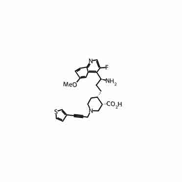 COc1ccc2ncc(F)c([C@@H](N)CC[C@H]3CCN(CC#Cc4ccsc4)C[C@H]3C(=O)O)c2c1